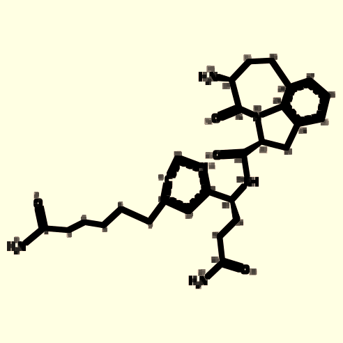 NC(=O)CCCCCc1ccnc([C@H](CCC(N)=O)NC(=O)[C@@H]2Cc3cccc4c3N2C(=O)[C@@H](N)CC4)c1